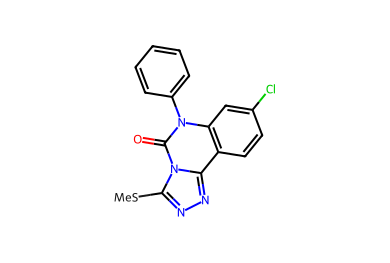 CSc1nnc2c3ccc(Cl)cc3n(-c3ccccc3)c(=O)n12